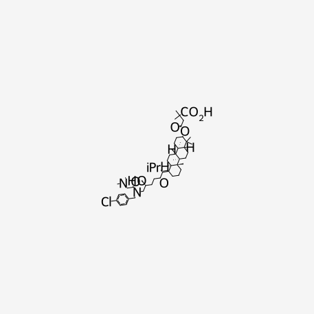 CC(C)/C(C(=O)CC[C@H](O)CN(Cc1ccc(Cl)cc1)C(=O)CN(C)C)=C1/CCC[C@]2(C)[C@@H]1CC[C@@H]1[C@@]3(C)CC[C@H](OC(=O)CC(C)(C)C(=O)O)C(C)(C)[C@@H]3CC[C@]12C